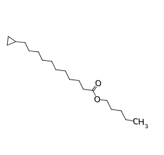 CCCCCOC(=O)CCCCCCCCCCC1CC1